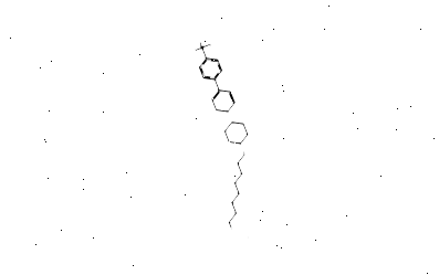 CCCCCCCCC[C@H]1CC[C@H](C2C=CC(c3ccc(C(F)(F)F)cc3)=CC2)CC1